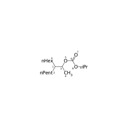 CCCCCCC(CCCCC)C(C)OC(=O)OC(C)C